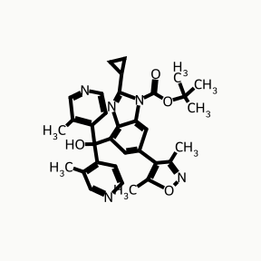 Cc1cnccc1C(O)(c1ccncc1C)c1cc(-c2c(C)noc2C)cc2c1nc(C1CC1)n2C(=O)OC(C)(C)C